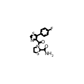 NC(=O)C1SCCN1C(=O)c1ncsc1-c1ccc(F)cc1